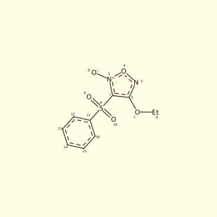 CCOc1no[n+]([O-])c1S(=O)(=O)c1ccccc1